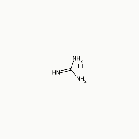 I.N=C(N)N